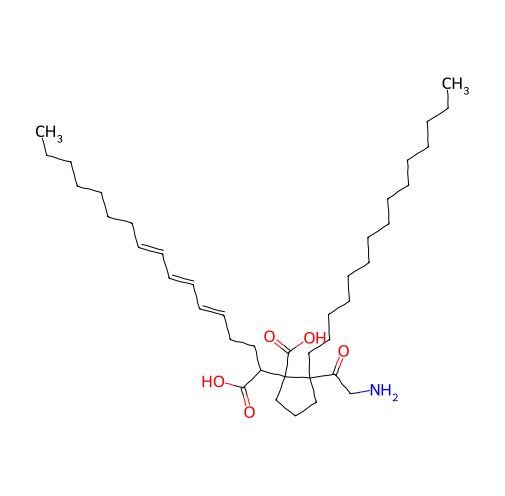 CCCCCCCC=CC=CC=CCCC(C(=O)O)C1(C(=O)O)CCCC1(CCCCCCCCCCCCCCC)C(=O)CN